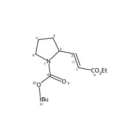 CCOC(=O)/C=C/C1CCCN1C(=O)OC(C)(C)C